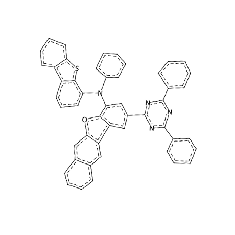 c1ccc(-c2nc(-c3ccccc3)nc(-c3cc(N(c4ccccc4)c4cccc5c4sc4ccccc45)c4oc5cc6ccccc6cc5c4c3)n2)cc1